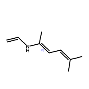 C=CN/C(C)=C/C=C(C)C